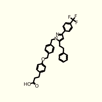 O=C(O)CCc1ccc(OCc2ccc(Cn3nc(-c4ccc(C(F)(F)F)cc4)cc3CCc3ccccc3)cc2)cc1